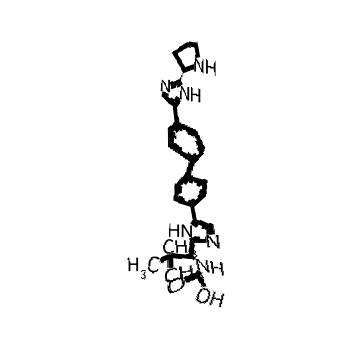 CC(C)(C)[C@H](NC(=O)O)c1ncc(-c2ccc(-c3ccc(-c4cnc([C@@H]5CCCN5)[nH]4)cc3)cc2)[nH]1